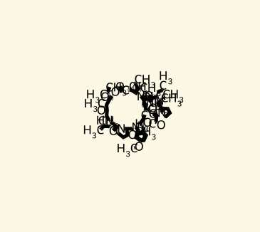 CC[C@@H](C)C1NC(=O)[C@@H](NC(=O)[C@@H](CC(C)C)N(C)C(=O)C2CCCN2C(=O)C(C)=O)[C@@H](C)CC(=O)[C@H](Cc2ccc(OC)cc2)N(C)C(=O)C2CCCN2C(=O)[C@H](CC(C)C)NCC(=O)C(C)C(=O)[C@H](C(C)C)OC(=O)C[C@@H]1O